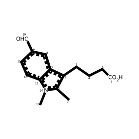 Cc1c(CCCC(=O)O)c2cc(C=O)ccc2n1C